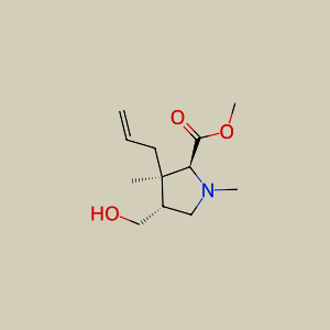 C=CC[C@]1(C)[C@@H](CO)CN(C)[C@@H]1C(=O)OC